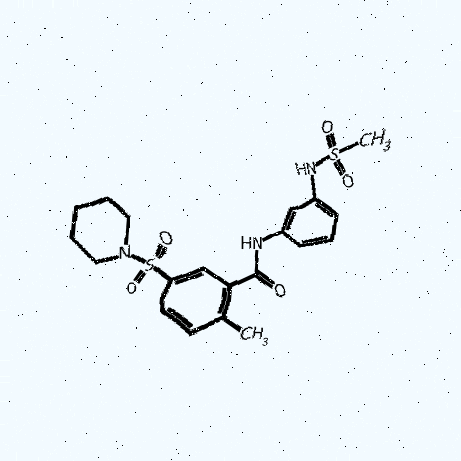 Cc1ccc(S(=O)(=O)N2CCCCC2)cc1C(=O)Nc1cccc(NS(C)(=O)=O)c1